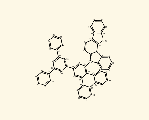 C1=CC2C(c3ccccc3N2c2cc(-c3nc(-c4ccccc4)nc(-c4ccccc4)n3)cc3c4ccccc4c4ccccc4c23)c2sc3ccccc3c21